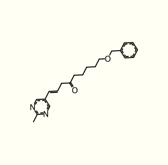 Cc1ncc(C=CCC(=O)CCCCCOCc2ccccc2)cn1